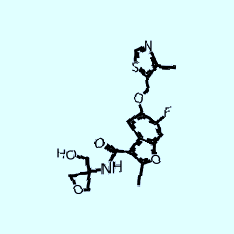 Cc1ncsc1COc1cc2c(C(=O)NC3(CO)COC3)c(C)oc2cc1F